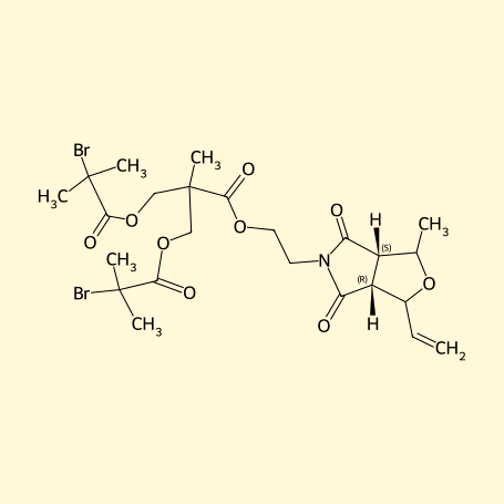 C=CC1OC(C)[C@H]2C(=O)N(CCOC(=O)C(C)(COC(=O)C(C)(C)Br)COC(=O)C(C)(C)Br)C(=O)[C@@H]12